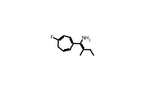 CC/C(C)=C(\N)C1=CC=C(F)CC=C1